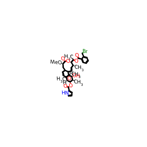 CO[C@H]1CC2C=C[C@]3(C)[C@H]4[C@H](O)[C@@H](C)[C@@H](OC(=O)c5ccc[nH]5)[C@@H]3O[C@@]24/C(C)=C/[C@@H](C)[C@@H]([C@@H](C)OC(=O)c2ccccc2CBr)OC1=O